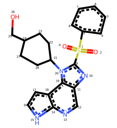 O=S(=O)(c1ccccc1)c1nc2cnc3[nH]ccc3c2n1C1CCC(CO)CC1